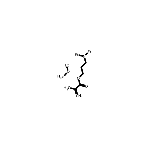 C=C(C)C(=O)OCCCN(CC)CC.CCO[SiH3]